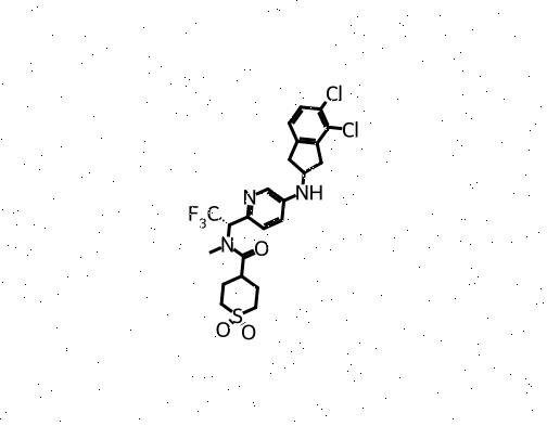 CN(C(=O)C1CCS(=O)(=O)CC1)[C@@H](c1ccc(NC2Cc3ccc(Cl)c(Cl)c3C2)cn1)C(F)(F)F